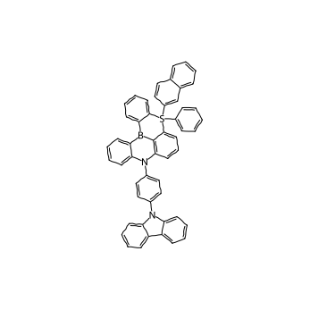 c1ccc(S2(c3ccc4ccccc4c3)c3ccccc3B3c4ccccc4N(c4ccc(-n5c6ccccc6c6ccccc65)cc4)c4cccc2c43)cc1